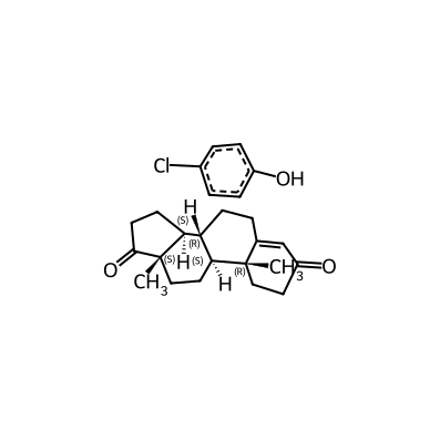 C[C@]12CCC(=O)C=C1CC[C@@H]1[C@@H]2CC[C@]2(C)C(=O)CC[C@@H]12.Oc1ccc(Cl)cc1